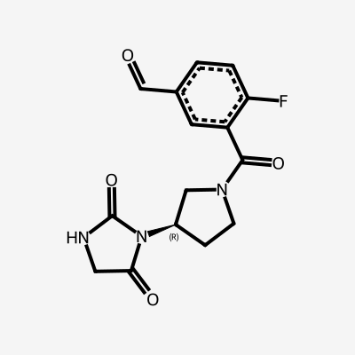 O=Cc1ccc(F)c(C(=O)N2CC[C@@H](N3C(=O)CNC3=O)C2)c1